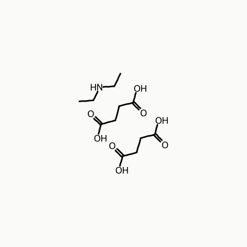 CCNCC.O=C(O)CCC(=O)O.O=C(O)CCC(=O)O